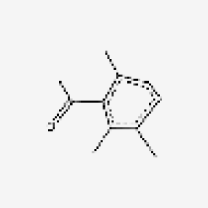 CC(=O)c1c(C)ccc(C)c1C